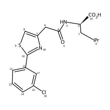 CC(C)C[C@@H](NC(=O)Cc1csc(-c2cccc(Cl)c2)n1)C(=O)O